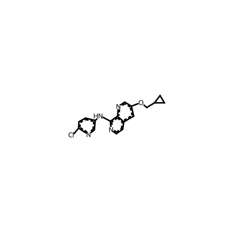 Clc1ccc(Nc2nccc3cc(OCC4CC4)cnc23)cn1